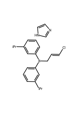 CC(C)c1cccc(B(CC=CCl)c2cccc(C(C)C)c2)c1.c1c[nH]cn1